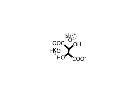 O.O=C([O-])C(O)C(O)C(=O)[O-].[K+].[O-2].[Sb+3]